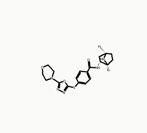 O=C(N[C@@H]1C[C@H]2CC[C@@H]1N2)c1ccc(Sc2nnc(N3CCOCC3)o2)cc1